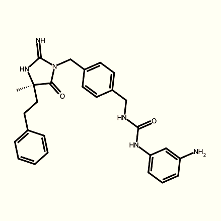 C[C@]1(CCc2ccccc2)NC(=N)N(Cc2ccc(CNC(=O)Nc3cccc(N)c3)cc2)C1=O